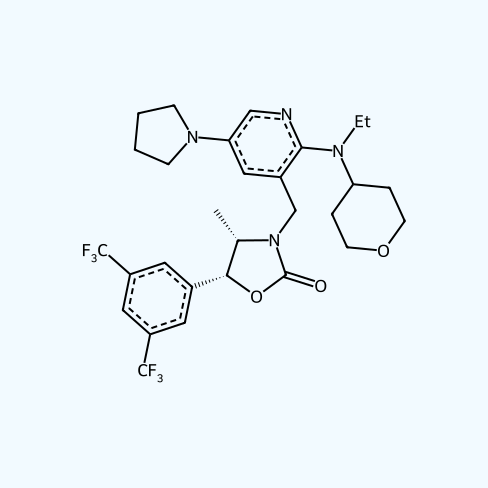 CCN(c1ncc(N2CCCC2)cc1CN1C(=O)O[C@H](c2cc(C(F)(F)F)cc(C(F)(F)F)c2)[C@@H]1C)C1CCOCC1